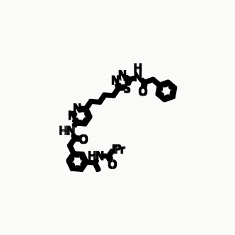 CC(C)C(=O)NC(C)c1cccc(CC(=O)Nc2ccc(CCCCc3nnc(NC(=O)Cc4ccccc4)s3)nn2)c1